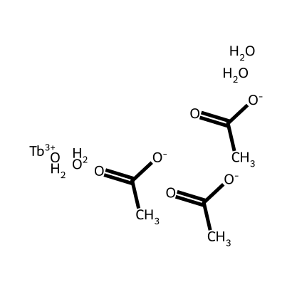 CC(=O)[O-].CC(=O)[O-].CC(=O)[O-].O.O.O.O.[Tb+3]